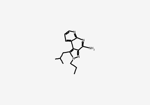 CCCn1nc2c(N)nc3ncccc3c2c1CC(C)C